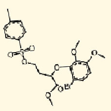 COC(=O)C(CCOS(=O)(=O)c1ccc(C)cc1)Oc1c(Br)ccc(OC)c1OC